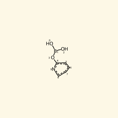 OB(O)Oc1ccccn1